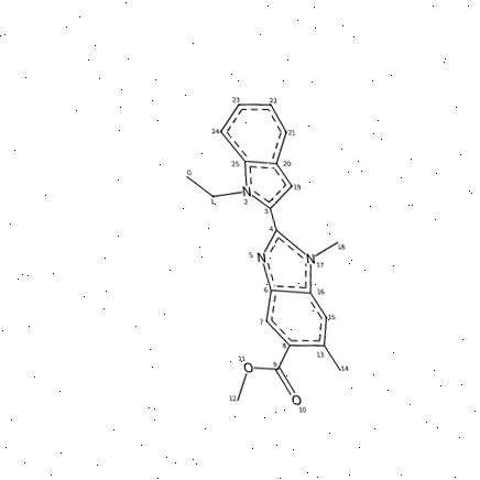 CCn1c(-c2nc3cc(C(=O)OC)c(C)cc3n2C)cc2ccccc21